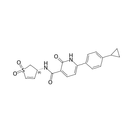 O=C(N[C@@H]1C=CS(=O)(=O)C1)c1ccc(-c2ccc(C3CC3)cc2)[nH]c1=O